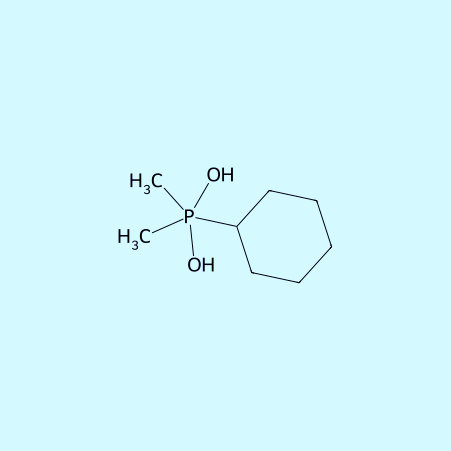 CP(C)(O)(O)C1CCCCC1